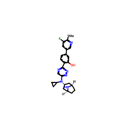 CSc1ncc(-c2ccc(-c3ncc(N(C4CC4)[C@@H]4C[C@H]5CC[C@@H](C4)N5)nn3)c(O)c2)cc1F